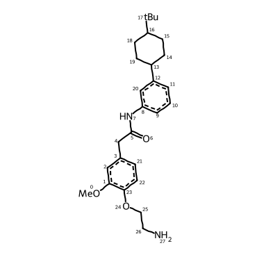 COc1cc(CC(=O)Nc2cccc(C3CCC(C(C)(C)C)CC3)c2)ccc1OCCN